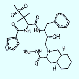 CC(C)(C)NC(=O)C1C[C@@H]2CCCC[C@@H]2CN1CC(O)C(Cc1ccccc1)NC(=O)[C@@H](NC(=O)c1ccoc1)C(C)(C)S(C)(=O)=O